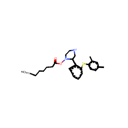 CCCCCCCCCCCCCCCC(=O)ON1CCNCC1c1ccccc1Sc1ccc(C)cc1C